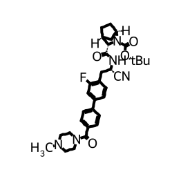 CN1CCN(C(=O)c2ccc(-c3ccc(C[C@@H](C#N)NC(=O)[C@@H]4[C@H]5CC[C@H](C5)N4C(=O)OC(C)(C)C)c(F)c3)cc2)CC1